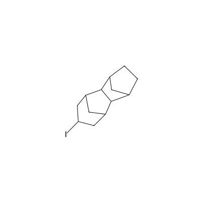 IC1CC2CC(C1)C1C3CCC(C3)C21